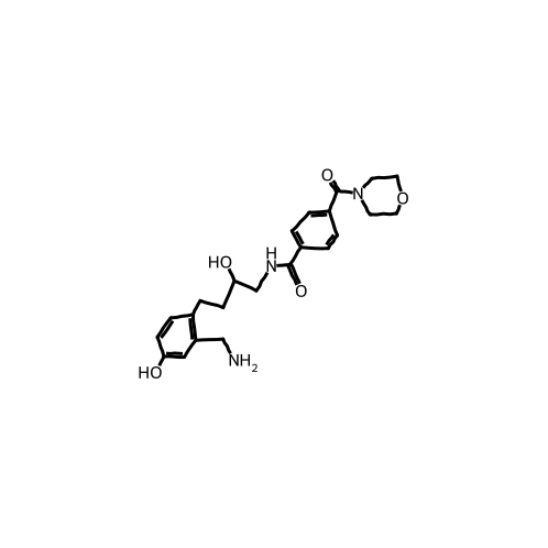 NCc1cc(O)ccc1CCC(O)CNC(=O)c1ccc(C(=O)N2CCOCC2)cc1